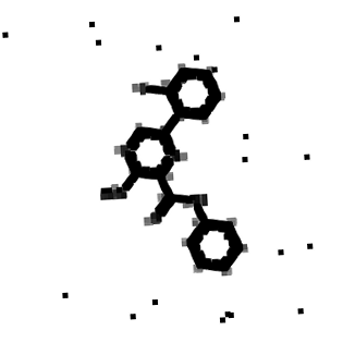 CNc1ncc(-c2ccccc2F)nc1C(=O)Nc1ccccc1